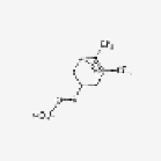 O=C(O)OSC1CC2C=CC1C(C(F)(F)F)=C2C(F)(F)F